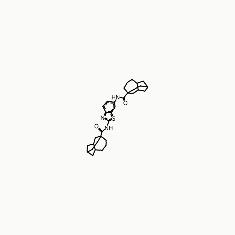 O=C(Nc1ccc2nc(NC(=O)C34CCCC5CC(CC5C3)C4)sc2c1)C12CCCC3CC(CC3C1)C2